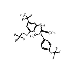 C=C(Nc1cc(C(C)(F)F)cc(OCC(F)(F)F)n1)N(C)c1ccc(OC(F)(F)F)cc1